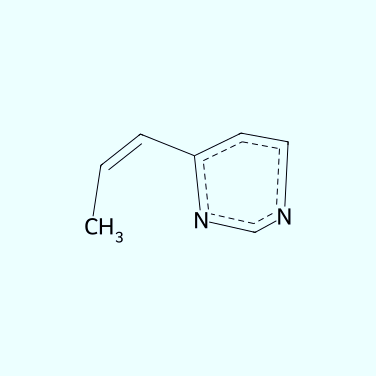 C/C=C\c1ccncn1